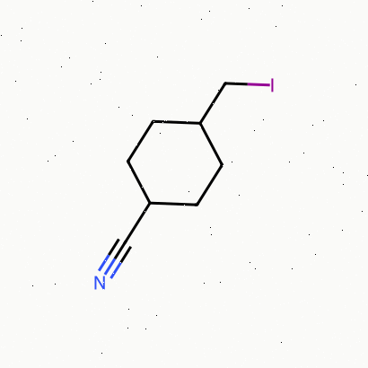 N#CC1CCC(CI)CC1